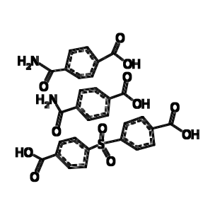 NC(=O)c1ccc(C(=O)O)cc1.NC(=O)c1ccc(C(=O)O)cc1.O=C(O)c1ccc(S(=O)(=O)c2ccc(C(=O)O)cc2)cc1